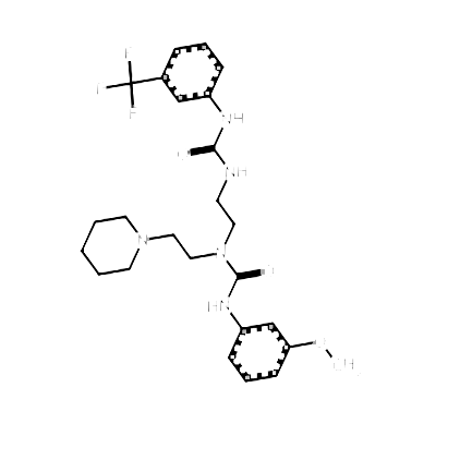 COc1cccc(NC(=O)N(CCNC(=O)Nc2cccc(C(F)(F)F)c2)CCN2CCCCC2)c1